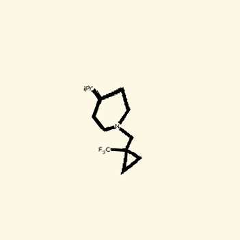 CC(C)C1CCN(CC2(C(F)(F)F)CC2)CC1